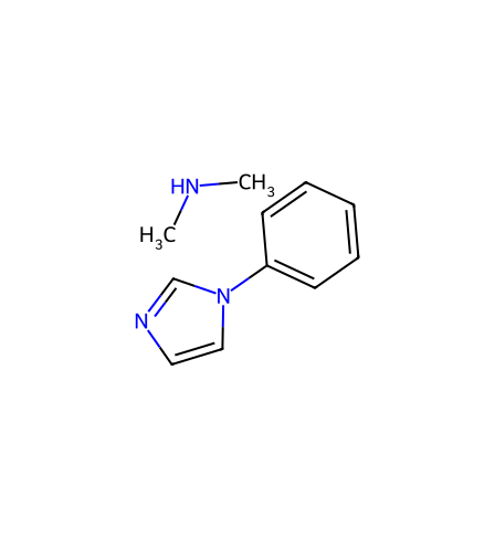 CNC.c1ccc(-n2ccnc2)cc1